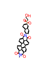 CN1C(=O)c2ccc3c4ccc5c6c(ccc(c7ccc(c2c37)C1=O)c64)C(=O)N(c1ccc2cc(S(=O)(=O)CCO)ccc2c1)C5=O